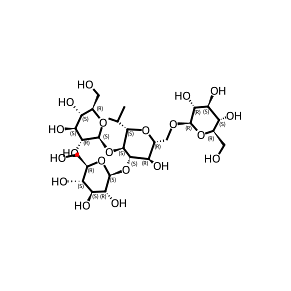 CC(C)[C@@H]1O[C@H](CO[C@@H]2O[C@H](CO)[C@@H](O)[C@H](O)[C@H]2O)[C@@H](O)[C@H](O[C@@H]2O[C@H](CO)[C@@H](O)[C@H](O)[C@H]2O)[C@H]1O[C@@H]1O[C@H](CO)[C@@H](O)[C@H](O)[C@H]1O